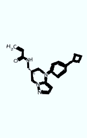 C=CC(=O)NC[C@@H]1CN(c2ccc(C3CCC3)cc2)c2ccnn2C1